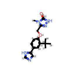 Cn1c(COc2ccc(-c3cnc[nH]3)cc2C(C)(C)C)n[nH]c1=O